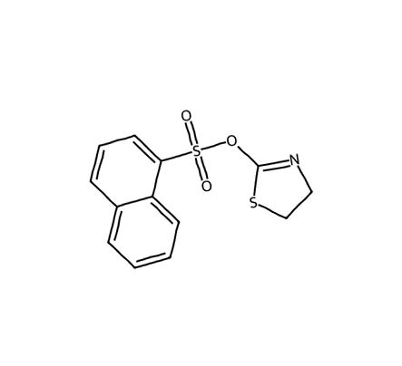 O=S(=O)(OC1=NCCS1)c1cccc2ccccc12